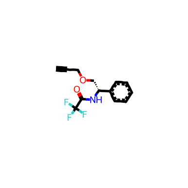 C#CCOC[C@@H](NC(=O)C(F)(F)F)c1ccccc1